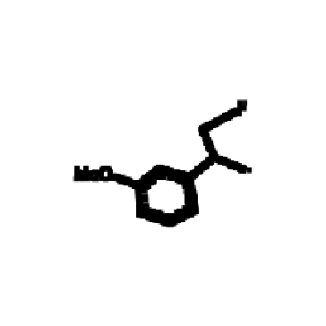 [CH2]C(CF)c1cccc(OC)c1